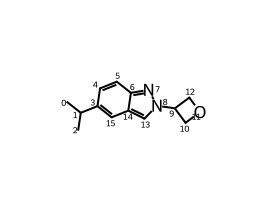 CC(C)c1ccc2nn(C3COC3)cc2c1